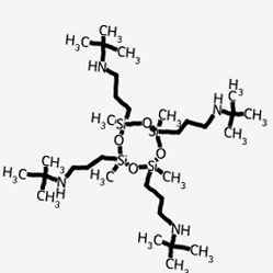 CC(C)(C)NCCC[Si]1(C)O[Si](C)(CCCNC(C)(C)C)O[Si](C)(CCCNC(C)(C)C)O[Si](C)(CCCNC(C)(C)C)O1